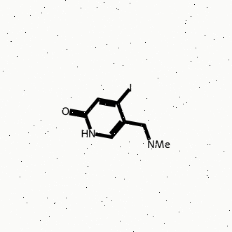 CNCc1c[nH]c(=O)cc1I